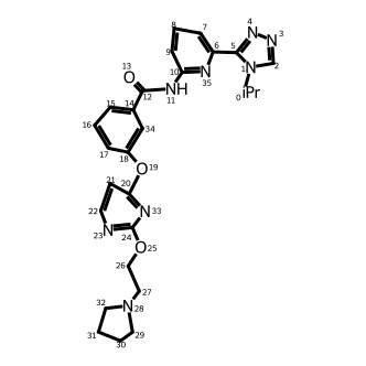 CC(C)n1cnnc1-c1cccc(NC(=O)c2cccc(Oc3ccnc(OCCN4CCCC4)n3)c2)n1